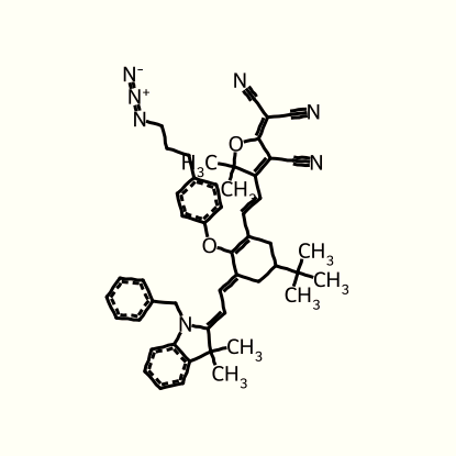 CC1(C)OC(=C(C#N)C#N)C(C#N)=C1C=CC1=C(Oc2ccc(CCCN=[N+]=[N-])cc2)C(=CC=C2N(Cc3ccccc3)c3ccccc3C2(C)C)CC(C(C)(C)C)C1